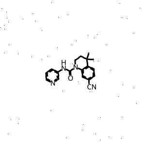 CC1(C)CCN(C(=O)Nc2cccnc2)c2cc(C#N)ccc21